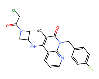 N#Cc1c(NC2CN(C(=O)CCl)C2)c2cccnc2n(Cc2ccc(F)cc2)c1=O